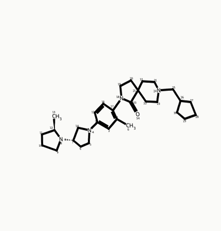 Cc1cc(N2CC[C@H](N3CCC[C@H]3C)C2)ccc1N1CCC2(CCN(CC3CCCC3)CC2)C1=O